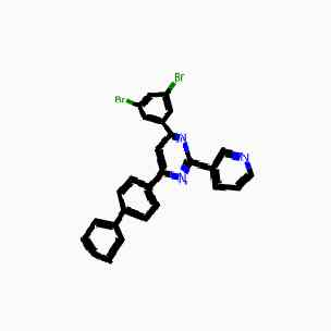 Brc1cc(Br)cc(-c2cc(-c3ccc(-c4ccccc4)cc3)nc(-c3cccnc3)n2)c1